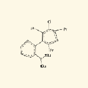 CC(C)c1cc(C(C)C)c(-c2ccccc2P(C(C)(C)C)C(C)(C)C)c(C(C)C)c1Cl